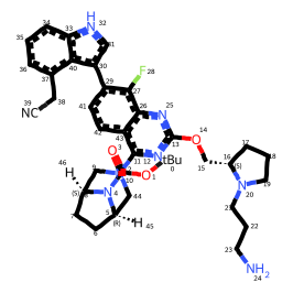 CC(C)(C)OC(=O)N1[C@@H]2CC[C@H]1CN(c1nc(OC[C@@H]3CCCN3CCCN)nc3c(F)c(-c4c[nH]c5cccc(CC#N)c45)ccc13)C2